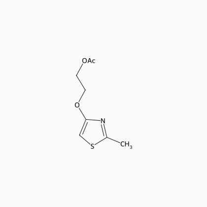 CC(=O)OCCOc1csc(C)n1